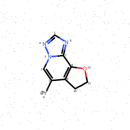 CC(C)c1cn2ncnc2c2c1CCO2